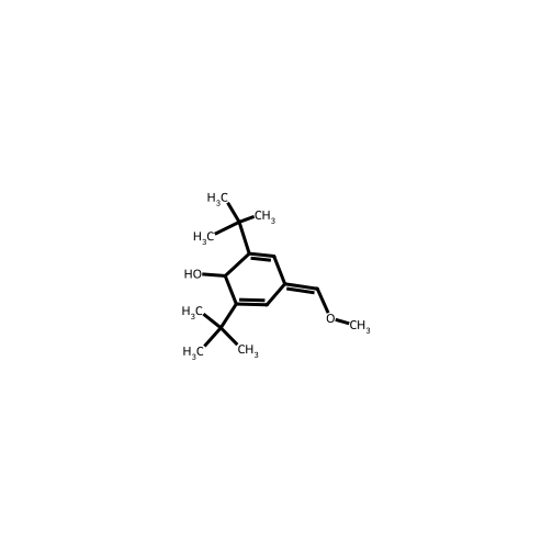 COC=C1C=C(C(C)(C)C)C(O)C(C(C)(C)C)=C1